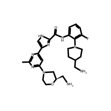 Cc1nc(-c2c[nH]c(C(=O)Nc3cccc(F)c3N3CCC(CN)CC3)n2)cc(N2CCO[C@H](CN)C2)n1